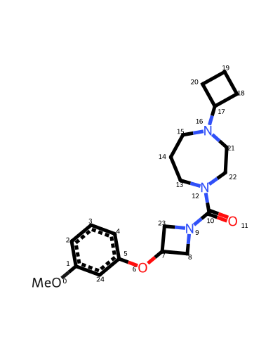 COc1cccc(OC2CN(C(=O)N3CCCN(C4CCC4)CC3)C2)c1